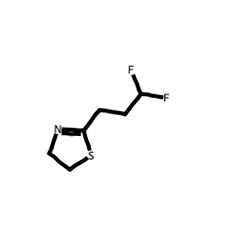 FC(F)CCC1=NCCS1